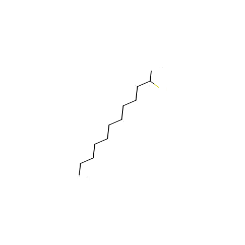 CCCCCCCCCCCCCCCCC(S)C=O